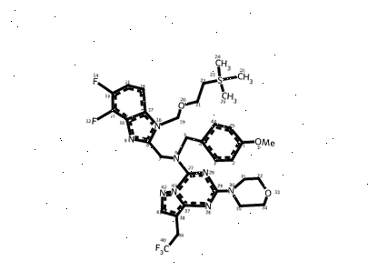 COc1ccc(CN(Cc2nc3c(F)c(F)ccc3n2COCCS(C)(C)C)c2nc(N3CCOCC3)nc3c(CC(F)(F)F)cnn23)cc1